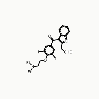 CCN(CC)CCOc1c(I)cc(C(=O)c2c(CC=O)oc3ccccc23)cc1I